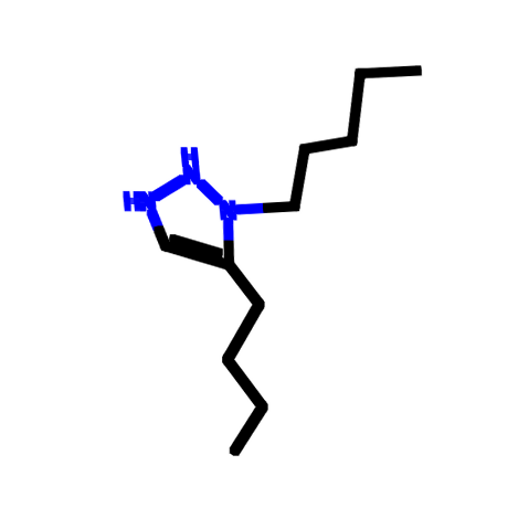 CCCCCN1NNC=C1CCCC